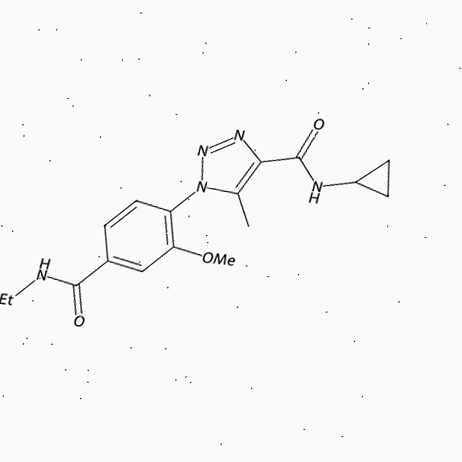 CCNC(=O)c1ccc(-n2nnc(C(=O)NC3CC3)c2C)c(OC)c1